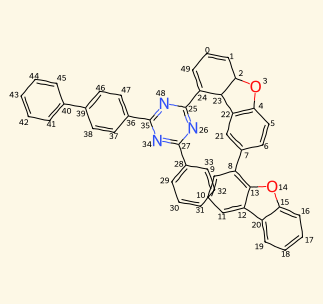 C1=CC2Oc3ccc(-c4cccc5c4oc4ccccc45)cc3C2C(c2nc(-c3ccccc3)nc(-c3ccc(-c4ccccc4)cc3)n2)=C1